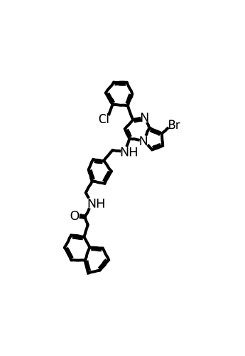 O=C(Cc1cccc2ccccc12)NCc1ccc(CNc2cc(-c3ccccc3Cl)nc3c(Br)ccn23)cc1